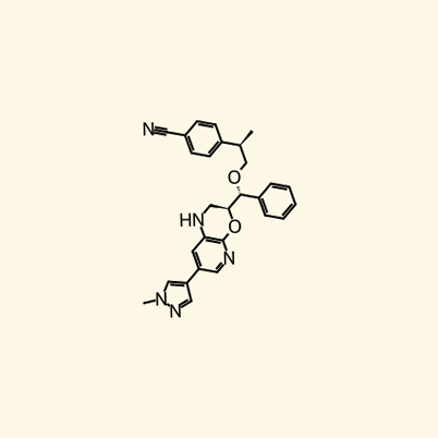 C[C@@H](CO[C@H](c1ccccc1)[C@@H]1CNc2cc(-c3cnn(C)c3)cnc2O1)c1ccc(C#N)cc1